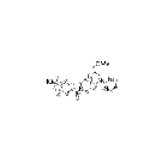 COCC1CN(c2ncccn2)CC2(CCN(C(=O)c3ccc(C(C)(C)O)c(C)c3)CC2)O1